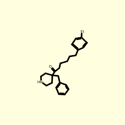 CCc1ccc(CCCCCC(=O)C2(Cc3ccccc3)CCNCC2)cc1